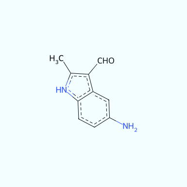 Cc1[nH]c2ccc(N)cc2c1C=O